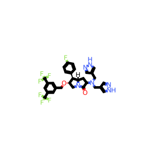 O=C1C(N(Cc2cn[nH]c2)Cc2cn[nH]c2)C[C@H]2[C@H](c3ccc(F)cc3)[C@@H](OCc3cc(C(F)(F)F)cc(C(F)(F)F)c3)CN12